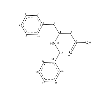 O=C(O)CC(Cc1ccccc1)NCc1ccccc1